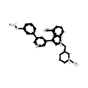 COc1cccc(-c2cncc(-c3cn(CC4CCCN(C)C4)c4cccc(Cl)c34)c2)c1